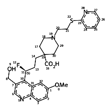 COc1ccc2ncc(CO)c([C@@H](F)CCC3(C(=O)O)CCN(CCSc4ccccn4)CC3)c2c1